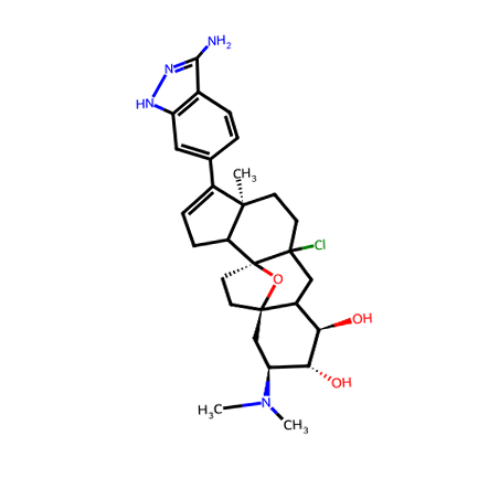 CN(C)[C@H]1C[C@@]23CC[C@]4(O2)C2CC=C(c5ccc6c(N)n[nH]c6c5)[C@@]2(C)CCC4(Cl)CC3[C@@H](O)[C@@H]1O